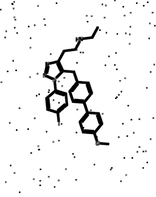 CCNCCc1nnn(-c2ccc(I)cc2)c1Cc1ccc(-c2ccc(OC)cc2)cc1